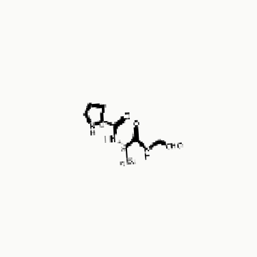 CC[C@H](C)[C@H](NC(=O)[C@@H]1CCCN1)C(=O)NC[C]=O